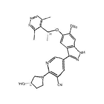 COc1cc2[nH]nc(-c3cnc(N4CC[C@H](O)C4)c(C#N)c3)c2cc1O[C@H](C)c1c(C)cnnc1C